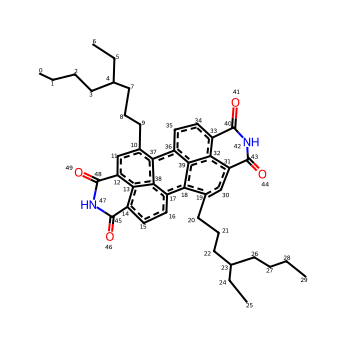 CCCCC(CC)CCCc1cc2c3c(ccc4c5c(CCCC(CC)CCCC)cc6c7c(ccc(c1c34)c75)C(=O)NC6=O)C(=O)NC2=O